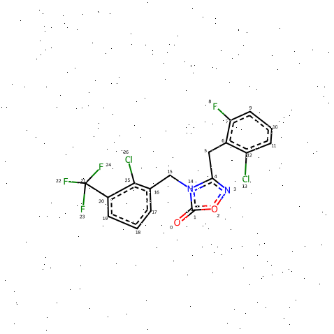 O=c1onc(Cc2c(F)cccc2Cl)n1Cc1cccc(C(F)(F)F)c1Cl